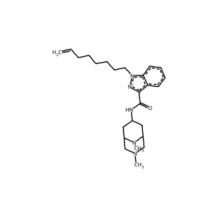 C=CCCCCCCn1nc(C(=O)NC2CC3CN(C)CC(C2)N3C)c2ccccc21